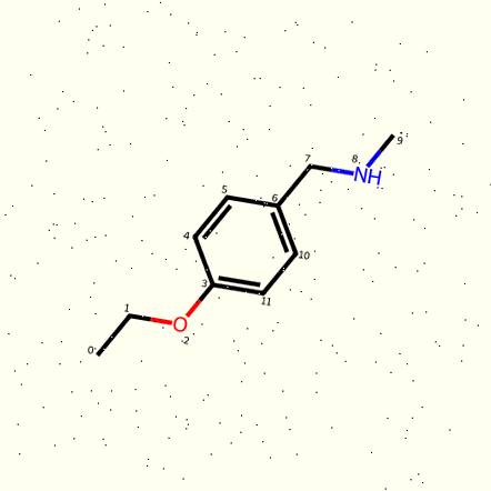 CCOc1ccc(CNC)cc1